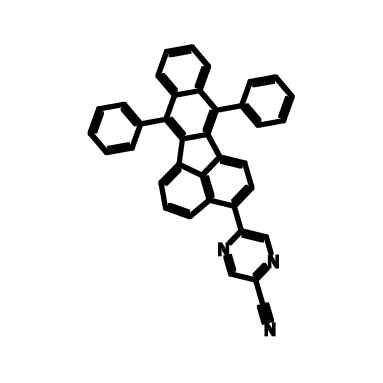 N#Cc1cnc(-c2ccc3c4c(cccc24)-c2c-3c(-c3ccccc3)c3ccccc3c2-c2ccccc2)cn1